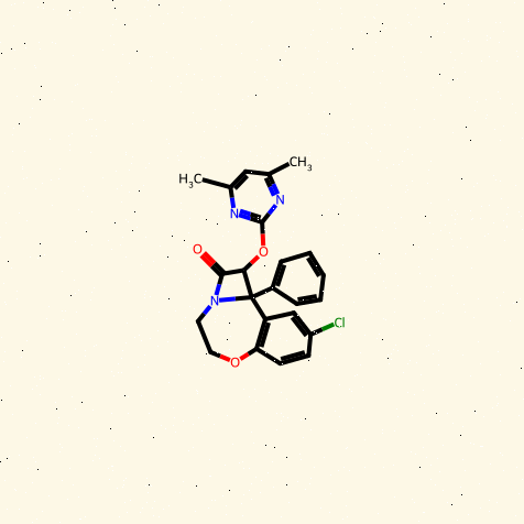 Cc1cc(C)nc(OC2C(=O)N3CCOc4ccc(Cl)cc4C23c2ccccc2)n1